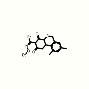 CCO/N=C(/CC)C1C(=O)CC2c3c(C)cc(C)cc3CSC2C1=O